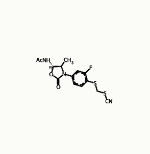 CC(=O)N[C@H]1OC(=O)N(c2ccc(SCSC#N)c(F)c2)C1C